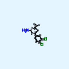 CC1(CC(CCN)c2ccc(Cl)c(Cl)c2)CC1